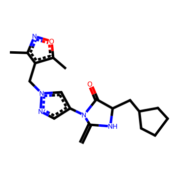 C=C1NC(CC2CCCC2)C(=O)N1c1cnn(Cc2c(C)noc2C)c1